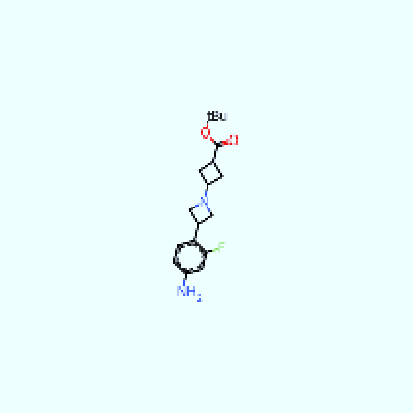 CC(C)(C)OC(=O)C1CC(N2CC(c3ccc(N)cc3F)C2)C1